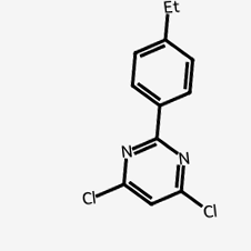 CCc1ccc(-c2nc(Cl)cc(Cl)n2)cc1